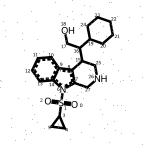 O=S(=O)(C1CC1)n1c2c(c3ccccc31)C(C(CO)C1CCCCC1)CNC2